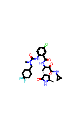 C[C@@H]1C[C@@H](CC(NC(=O)c2cc(Cl)ccc2NC(=O)N(C)CC2CCC(F)(F)CC2)C(=O)C(=O)NC2CC2)C(=O)N1